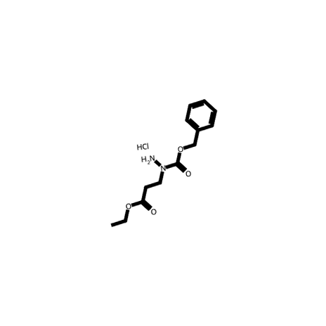 CCOC(=O)CCN(N)C(=O)OCc1ccccc1.Cl